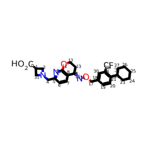 O=C(O)C1CN(Cc2ccc3c(n2)OCC/C3=N\OCc2ccc(C3CCCCC3)c(C(F)(F)F)c2)C1